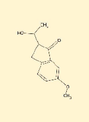 COc1ccc2c(c1)C(=O)C(C(C)O)C2